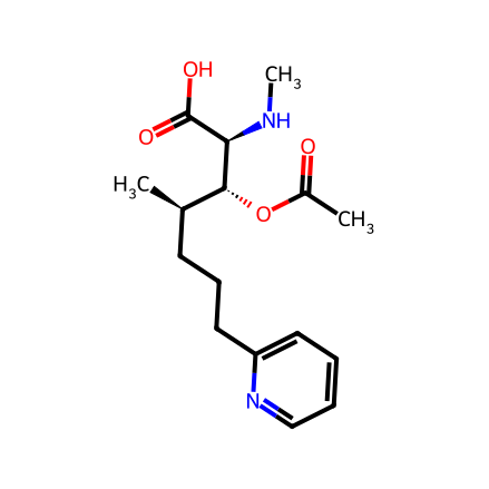 CN[C@H](C(=O)O)[C@H](OC(C)=O)[C@H](C)CCCc1ccccn1